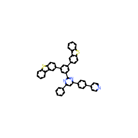 c1ccc(-c2cc(-c3ccc(-c4ccncc4)cc3)nc(-c3cc(-c4ccc5sc6ccccc6c5c4)cc(-c4ccc5sc6ccccc6c5c4)c3)n2)cc1